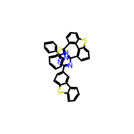 c1ccc(-c2nc(-c3ccc4sc5ccccc5c4c3)nc(-c3cccc4sc5cccc(-c6nc7ccccc7s6)c5c34)n2)cc1